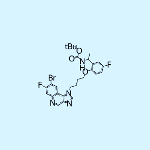 CC(NC(=O)OC(C)(C)C)c1cc(F)ccc1OCCCCn1cnc2cnc3cc(F)c(Br)cc3c21